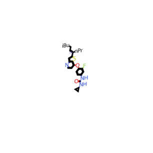 CCC/C(=C\CC(C)CC)c1cc2nccc(Oc3ccc(NC(=O)NC4CC4)cc3F)c2s1